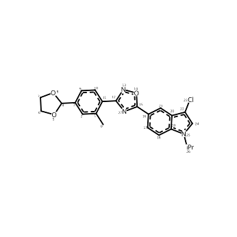 Cc1cc(C2OCCO2)ccc1-c1noc(-c2ccc3c(c2)c(Cl)cn3C(C)C)n1